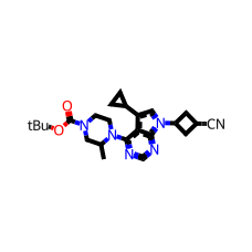 CC1CN(C(=O)OC(C)(C)C)CCN1c1ncnc2c1c(C1CC1)cn2C1CC(C#N)C1